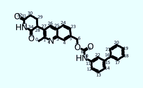 Cc1nc2cc(COC(=O)Nc3cccc(-c4ccccc4)c3)ccc2cc1C1CCC(=O)NC1=O